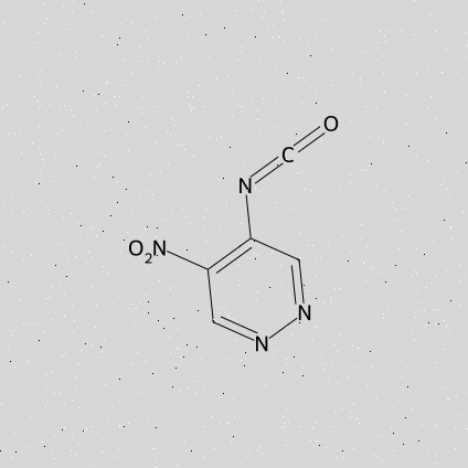 O=C=Nc1cnncc1[N+](=O)[O-]